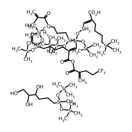 C=C[Si](CCCCC(=C[Si](O[SiH2]C=C(CCCC[Si](C)(C)C)C(=O)O)(O[Si](C)(C)C)[SiH](CCCOC(=O)C(=C)C)O[Si](C)(C)[Si](C)(C)C)C(=O)OC(=O)C(=C)CCC(F)(F)F)(O[Si](C)(C)C)O[Si](C)(C)C.C[Si](C)(C)O[Si](C)(CCCC(O)C(O)CO)O[Si](C)(C)C